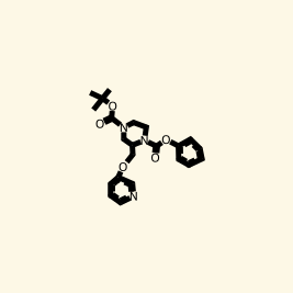 CC(C)(C)OC(=O)N1CCN(C(=O)Oc2ccccc2)C(COc2cccnc2)C1